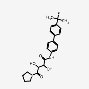 CC(C)(F)c1ccc(-c2ccc(NC(=O)C(O)C(O)C(=O)N3CCCC3)cc2)cc1